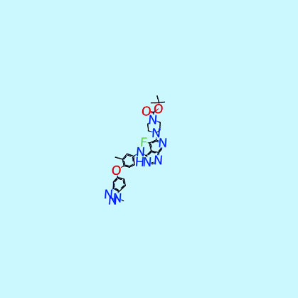 Cc1cc(Nc2ncnc3cnc(N4CCN(C(=O)OC(C)(C)C)CC4)c(F)c23)ccc1Oc1ccc2c(c1)nnn2C